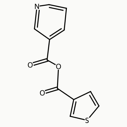 O=C(OC(=O)c1ccsc1)c1cccnc1